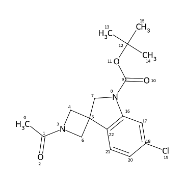 CC(=O)N1CC2(C1)CN(C(=O)OC(C)(C)C)c1cc(Cl)ccc12